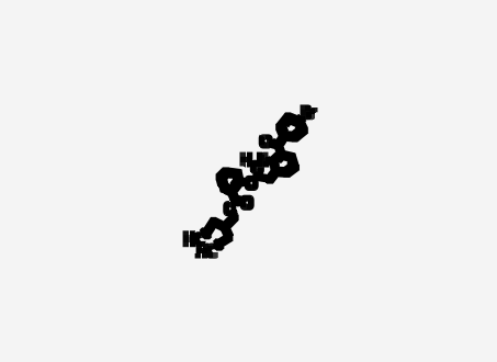 C#CCC(CC#C)COC(=O)c1ccccc1OC(=O)Cc1cccc(C(=O)c2ccc(Br)cc2)c1N